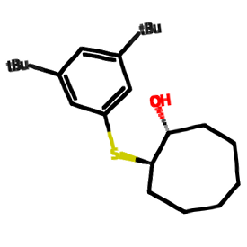 CC(C)(C)c1cc(S[C@@H]2CCCCCC[C@H]2O)cc(C(C)(C)C)c1